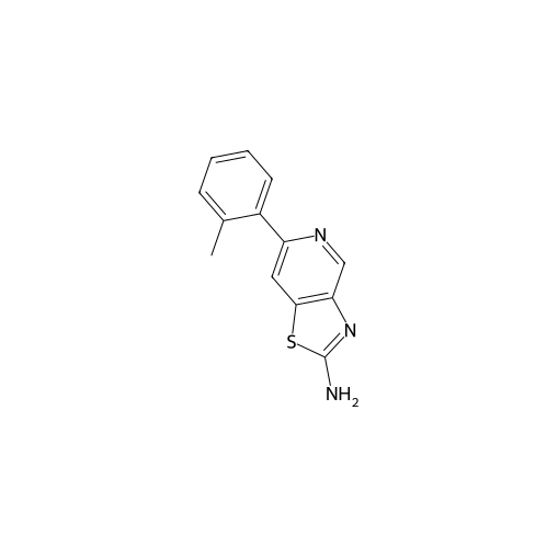 Cc1ccccc1-c1cc2sc(N)nc2cn1